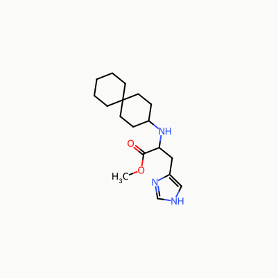 COC(=O)C(Cc1c[nH]cn1)NC1CCC2(CCCCC2)CC1